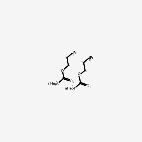 CCCCCCCC(=O)OCCC(C)C.CCCCCCCC(=O)OCCC(C)C